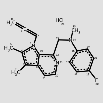 C=C=Cn1c(C)c(C)c2ccnc(CN(C)c3ccc(F)cc3)c21.Cl